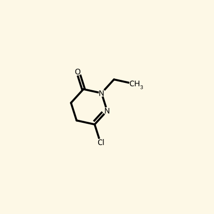 CCN1N=C(Cl)CCC1=O